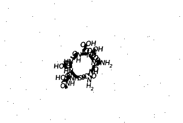 CC(=O)N[C@H](C(=O)N[C@H]1CSSC[C@@H](C(N)=O)NC(=O)[C@H](CC(N)=O)NC(=O)[C@H](CC(=O)O)NC(=O)[C@H](CCC(=O)O)NC(=O)[C@H](C)NC(=O)[C@H](CC(=O)O)NC1=O)[C@@H](C)O